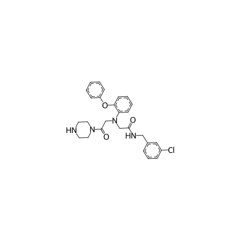 O=C(CN(CC(=O)N1CCNCC1)c1ccccc1Oc1ccccc1)NCc1cccc(Cl)c1